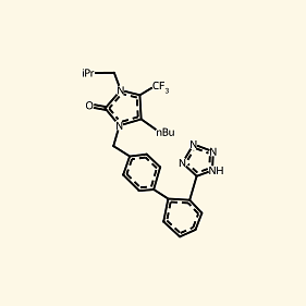 CCCCc1c(C(F)(F)F)n(CC(C)C)c(=O)n1Cc1ccc(-c2ccccc2-c2nnn[nH]2)cc1